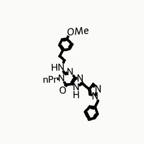 CCCn1c(NCCc2ccc(OC)cc2)nc2nc(-c3cnn(Cc4ccccc4)c3)[nH]c2c1=O